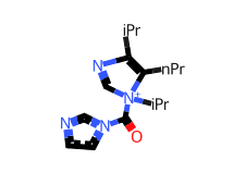 CCCC1=C(C(C)C)N=C[N+]1(C(=O)n1ccnc1)C(C)C